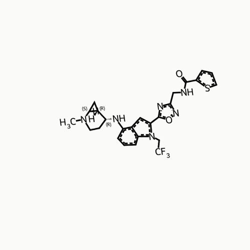 CN1CC[C@@H](Nc2cccc3c2cc(-c2nc(CNC(=O)c4cccs4)no2)n3CC(F)(F)F)[C@H]2C[C@@H]21